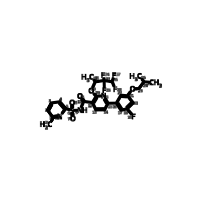 Cc1cccc(S(=O)(=O)NC(=O)c2ccc(-c3cc(F)cc(OCC(C)C)c3)nc2OC(C)C(F)(F)C(F)F)n1